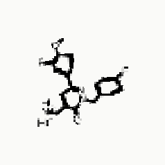 COc1ccc(-c2cc(CN)c(=O)n(Cc3ccc(F)cc3)n2)cc1F.Cl